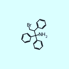 NC(c1ccccc1)(c1ccccc1)C(CBr)c1ccccc1